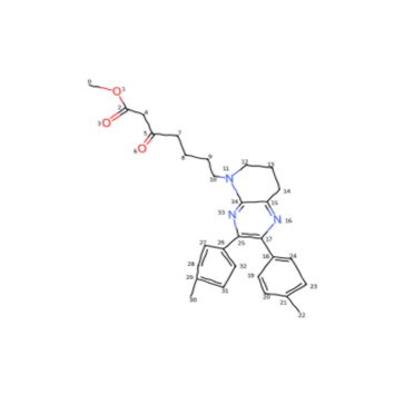 COC(=O)CC(=O)CCCCN1CCCc2nc(-c3ccc(C)cc3)c(-c3ccc(C)cc3)nc21